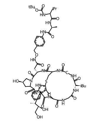 CC[C@H](C)[C@@H]1NC(=O)CNC(=O)C2Cc3c([nH]c4ccccc34)SCC(NC(=O)CNC1=O)C(=O)N[C@@H](CC(=O)NOCc1ccc(NC(=O)[C@H](C)NC(=O)C(NC(=O)OC(C)(C)C)C(C)C)cc1)C(=O)N1C[C@H](O)CC1C(=O)N[C@@H]([C@@H](C)[C@@H](O)CO)C(=O)N2